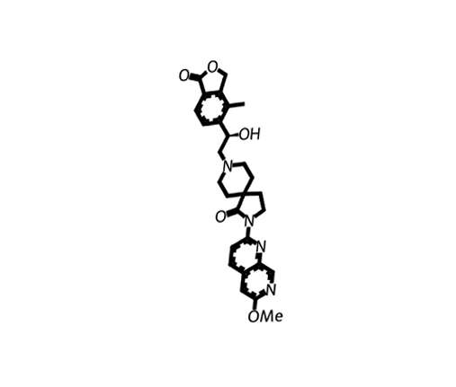 COc1cc2ccc(N3CCC4(CCN(C[C@H](O)c5ccc6c(c5C)COC6=O)CC4)C3=O)nc2cn1